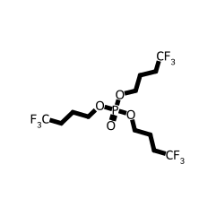 O=P(OCCCC(F)(F)F)(OCCCC(F)(F)F)OCCCC(F)(F)F